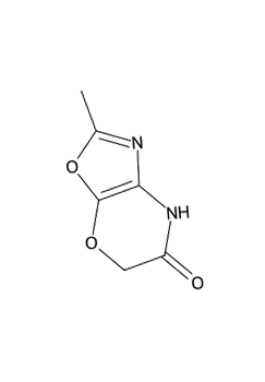 Cc1nc2c(o1)OCC(=O)N2